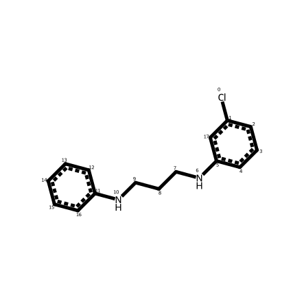 Clc1cccc(NCCCNc2ccccc2)c1